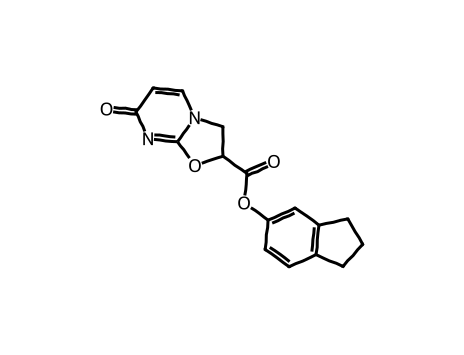 O=C(Oc1ccc2c(c1)CCC2)C1Cn2ccc(=O)nc2O1